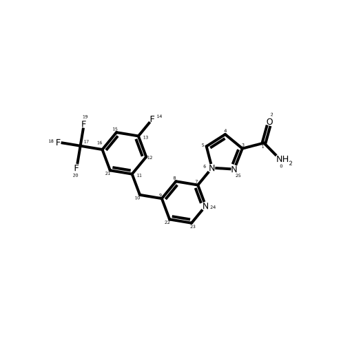 NC(=O)c1ccn(-c2cc(Cc3cc(F)cc(C(F)(F)F)c3)ccn2)n1